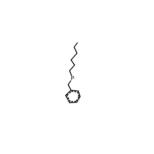 CCCCCC[P]Cc1ccccc1